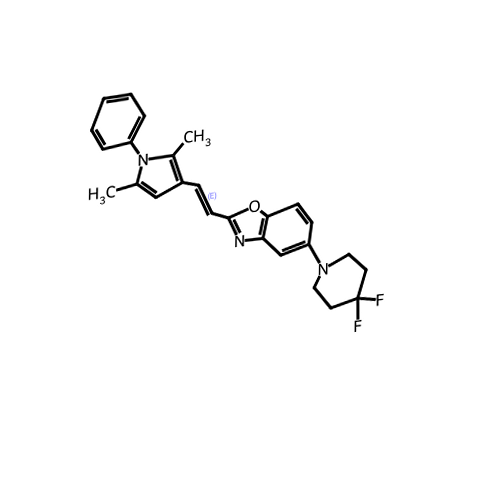 Cc1cc(/C=C/c2nc3cc(N4CCC(F)(F)CC4)ccc3o2)c(C)n1-c1ccccc1